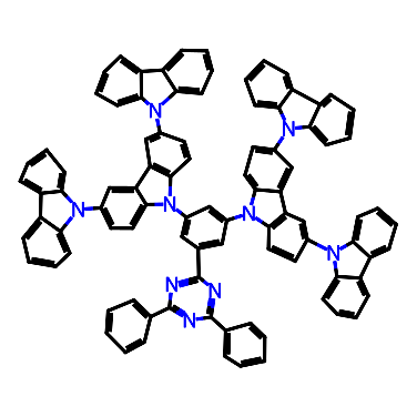 c1ccc(-c2nc(-c3ccccc3)nc(-c3cc(-n4c5ccc(-n6c7ccccc7c7ccccc76)cc5c5cc(-n6c7ccccc7c7ccccc76)ccc54)cc(-n4c5ccc(-n6c7ccccc7c7ccccc76)cc5c5cc(-n6c7ccccc7c7ccccc76)ccc54)c3)n2)cc1